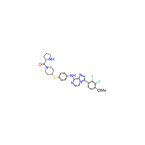 COc1ccc(-c2cnc3c(Nc4ccc(SC5CCN(C(=O)C6CCCN6)CC5)cc4)nccn23)c(F)c1F